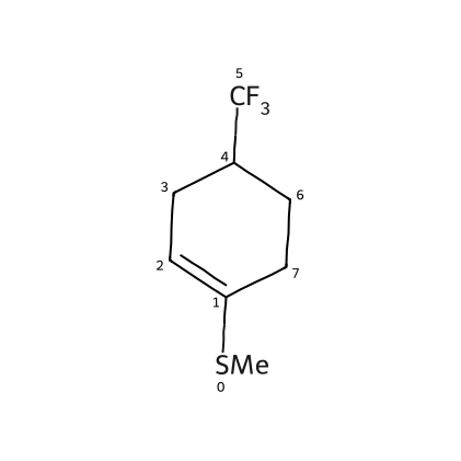 CSC1=CCC(C(F)(F)F)CC1